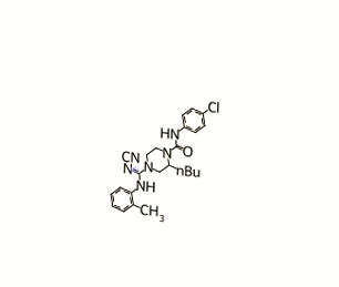 CCCCC1CN(/C(=N\C#N)Nc2ccccc2C)CCN1C(=O)Nc1ccc(Cl)cc1